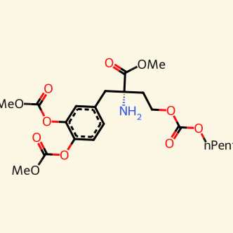 CCCCCOC(=O)OCC[C@@](N)(Cc1ccc(OC(=O)OC)c(OC(=O)OC)c1)C(=O)OC